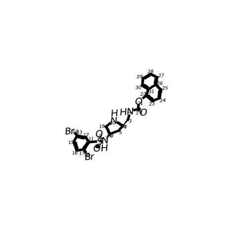 O=C(NC[C@H]1C[C@@H](NS(=O)(=O)c2cc(Br)ccc2Br)CN1)Oc1cccc2ccccc12